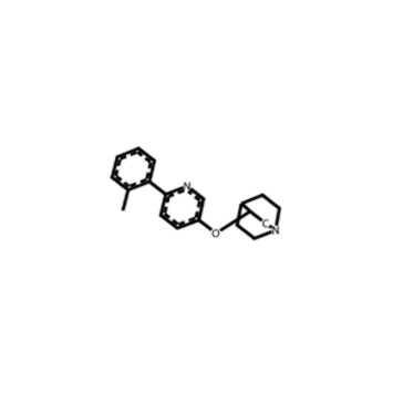 Cc1ccccc1-c1ccc(OC2CN3CCC2CC3)cn1